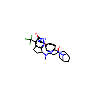 CN(CCC(=O)N1C2CCC1CN(c1ccc(C#N)cn1)C2)C1CCc2c1n[nH]c(=O)c2C(F)(F)F